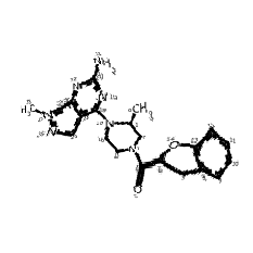 C[C@H]1CN(C(=O)C2Cc3ccccc3O2)CCN1c1nc(N)nc2c1cnn2C